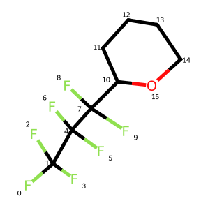 FC(F)(F)C(F)(F)C(F)(F)C1CCCCO1